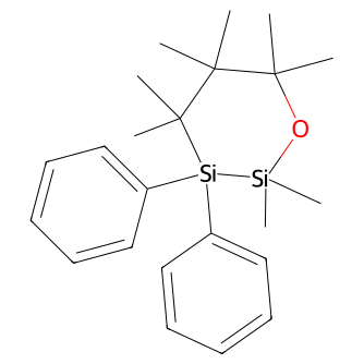 CC1(C)O[Si](C)(C)[Si](c2ccccc2)(c2ccccc2)C(C)(C)C1(C)C